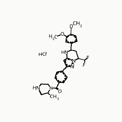 COc1ccc(C2CC(C(F)F)n3nc(-c4ccc(C(=O)N5CCNCC5C)cc4)cc3N2)cc1OC.Cl